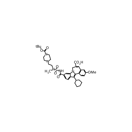 COc1ccc2c(c1)C=C(C(=O)O)Cn1c-2c(C2CCCCC2)c2ccc(C(=O)NS(=O)(=O)N(C)CCN3CCN(C(=O)OC(C)(C)C)CC3)cc21